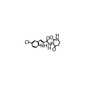 O=C(NN1C(=O)CCNC1=O)c1cc2cc(Cl)ccc2[nH]1